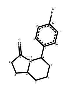 O=C1CCC2CCCC(c3ccc(F)cc3)N12